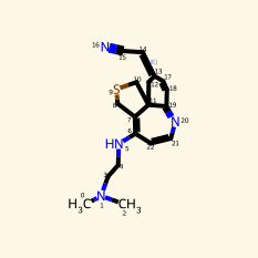 CN(C)CCNC1=C2CSCC23C/C(=C\C#N)C=CC3=NC=C1